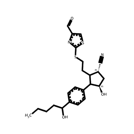 CCCCC(O)c1ccc(C2C(CCSc3nc(C=O)cs3)[C@H](C#N)C[C@H]2O)cc1